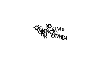 COc1cc(NC(CN(C(=O)Oc2c(C)cc(C)cc2C)c2ccncn2)c2ccccn2)cc(OC)c1OCCCN1CCN(C)CC1